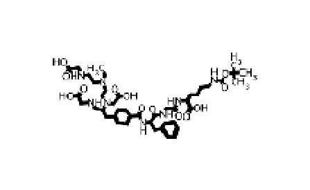 CCN(CCNCC(=O)O)CCN(CC(=O)O)C(CNCC(=O)O)Cc1ccc(C(=O)NC(Cc2ccccc2)C(=O)NCC(=O)NC(CCCCNC(=O)OC(C)(C)C)C(=O)O)cc1